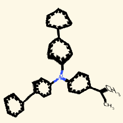 CC(C)c1ccc(N(c2ccc(-c3ccccc3)cc2)c2ccc(-c3ccccc3)cc2)cc1